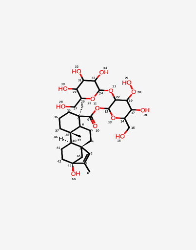 CC1=C[C@@]23CCC4[C@](C)(C(=O)OC5OC(CO)C(O)C(OO)C5OC5OC(CO)C(O)C(O)C5O)CCC[C@@]4(C)[C@@H]2CC[C@]1(O)C3